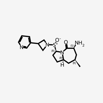 C[C@H]1C[C@H]2CC[C@@H]([S+]([O-])N3CC(c4cccnc4)C3)N2C(=O)[C@@H](N)C1